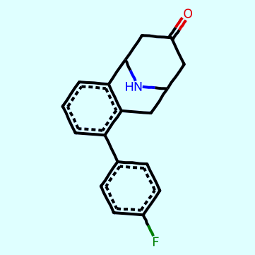 O=C1CC2Cc3c(-c4ccc(F)cc4)cccc3C(C1)N2